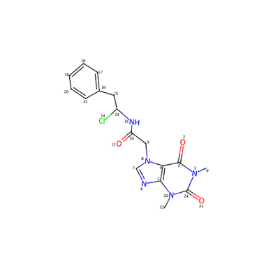 Cn1c(=O)c2c(ncn2CC(=O)NC(Cl)Cc2ccccc2)n(C)c1=O